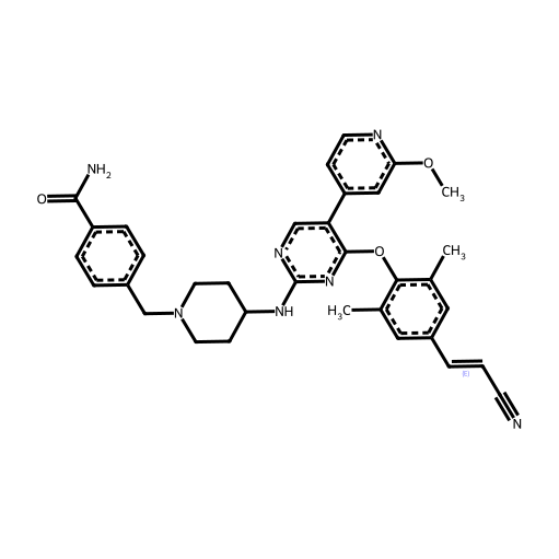 COc1cc(-c2cnc(NC3CCN(Cc4ccc(C(N)=O)cc4)CC3)nc2Oc2c(C)cc(/C=C/C#N)cc2C)ccn1